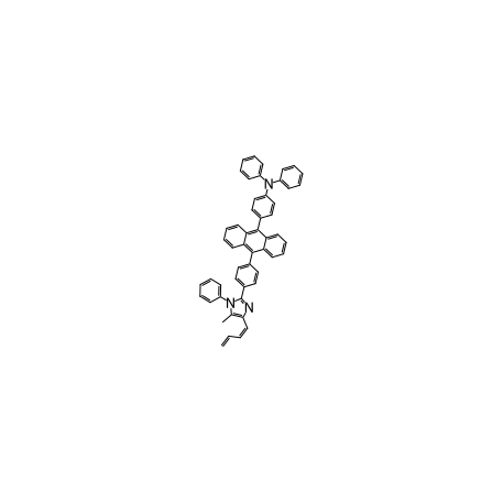 C=C/C=C\c1nc(-c2ccc(-c3c4ccccc4c(-c4ccc(N(c5ccccc5)c5ccccc5)cc4)c4ccccc34)cc2)n(-c2ccccc2)c1C